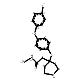 O=C(CC1(Sc2ccc(Oc3ccc(F)cc3)cc2)CCOCC1)NO